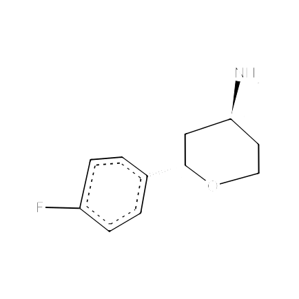 N[C@H]1CCO[C@H](c2ccc(F)cc2)C1